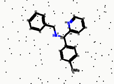 COc1ccc([C@H](NCc2ccccc2)c2ccccn2)cc1